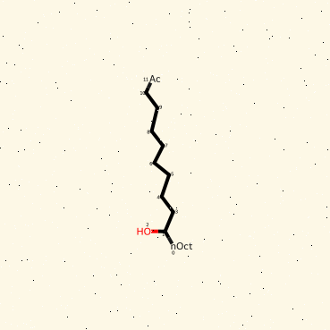 CCCCCCCCC(O)CCCCCCCCC(C)=O